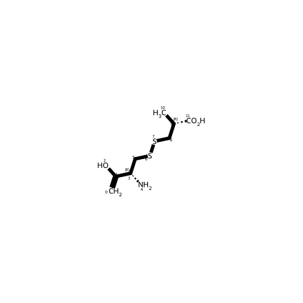 C=C(O)[C@@H](N)CSSC[C@H](C)C(=O)O